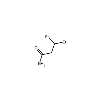 C[CH]C(CC)CC(N)=O